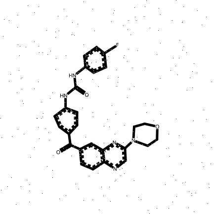 O=C(Nc1ccc(F)cc1)Nc1ccc(C(=O)c2ccc3ncc(N4CCOCC4)nc3c2)cc1